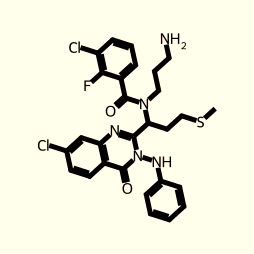 CSCCC(c1nc2cc(Cl)ccc2c(=O)n1Nc1ccccc1)N(CCCN)C(=O)c1cccc(Cl)c1F